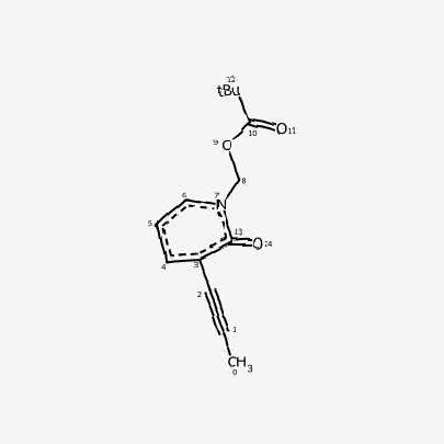 CC#Cc1cccn(COC(=O)C(C)(C)C)c1=O